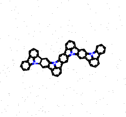 C1=c2c(n3c4cc5c6cccc7c8cc9c(cc8n(c5cc4c4cccc2c43)c67)c2cccc3c4ccccc4n9c32)=CC2c3cccc4c5ccccc5n(c34)C12